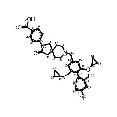 O=C(O)c1ccc(N2CC3(CCN(Cc4cc(OC5CC5)c(-c5ncc(F)cc5F)c(OC5CC5)c4)CC3)CC2=O)cc1